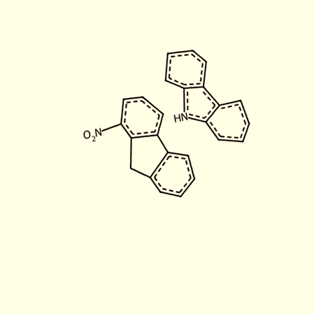 O=[N+]([O-])c1cccc2c1Cc1ccccc1-2.c1ccc2c(c1)[nH]c1ccccc12